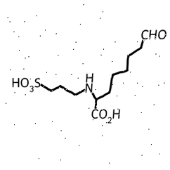 O=CCCCCCC(NCCCS(=O)(=O)O)C(=O)O